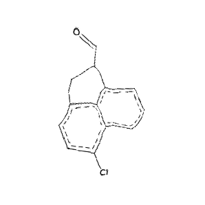 O=CC1Cc2ccc(Cl)c3cccc1c23